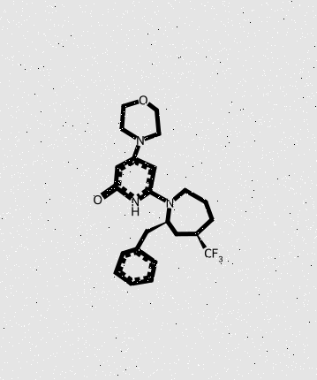 O=c1cc(N2CCOCC2)cc(N2CCC[C@@H](C(F)(F)F)C[C@H]2Cc2ccccc2)[nH]1